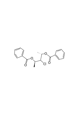 C[C@H](OC(=O)c1ccccc1)C(Cl)[C@@H](C)OC(=O)c1ccccc1